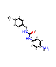 CC1C=CC(CNC(=O)Nc2ccc(N)cc2)=CC1